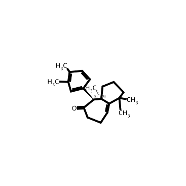 Cc1ccc([C@@H]2C(=O)CCC=C3C(C)(C)CCC[C@@]32C)cc1C